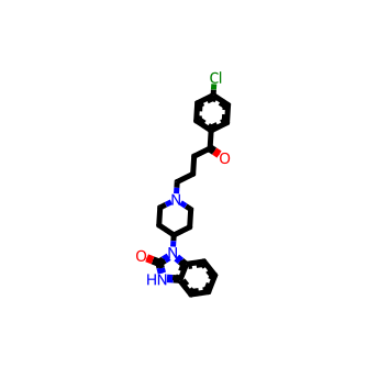 O=C(CCCN1CCC(n2c(=O)[nH]c3ccccc32)CC1)c1ccc(Cl)cc1